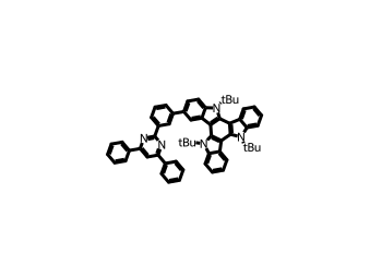 CC(C)(C)n1c2ccccc2c2c1c1c3ccccc3n(C(C)(C)C)c1c1c3cc(-c4cccc(-c5nc(-c6ccccc6)cc(-c6ccccc6)n5)c4)ccc3n(C(C)(C)C)c21